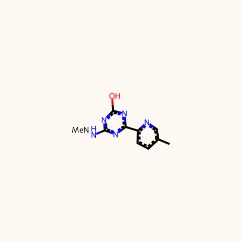 CNNc1nc(O)nc(-c2ccc(C)cn2)n1